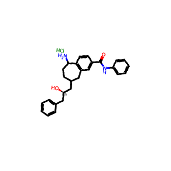 Cl.NC1CCC(C[C@H](O)Cc2ccccc2)Cc2cc(C(=O)Nc3ccccc3)ccc21